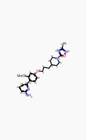 COc1cc(OCCCC2CCN(c3nc(C(C)C)no3)CC2)ccc1-c1cccc(N)n1